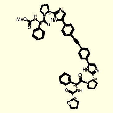 COC(=O)N[C@@H](C(=O)N1CCC[C@H]1c1ncc(-c2ccc(C#Cc3ccc(-c4cnc([C@@H]5CCCN5C(=O)[C@H](NC(=O)[C@@H]5CCCO5)c5ccccc5)[nH]4)cc3)cc2)[nH]1)c1ccccc1